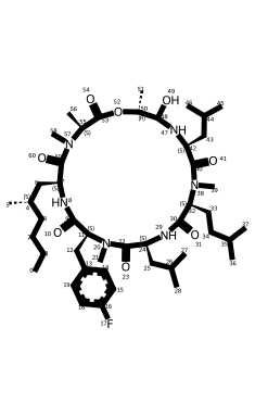 CCCC[C@H](C)C[C@@H]1NC(=O)[C@H](Cc2ccc(F)cc2)N(C)C(=O)[C@H](CC(C)C)NC(=O)[C@H](CCC(C)C)N(C)C(=O)[C@H](CC(C)C)NC(O)[C@@H](C)OC(=O)[C@H](C)N(C)C1=O